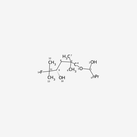 CCCC(O)OCC(C)(C)C[C@H](O)C(C)(C)F